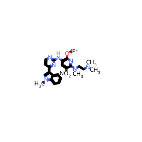 CC(C)Oc1nc(N(C)CCN(C)C)c([N+](=O)[O-])cc1Nc1nccc(-c2cn(C)c3ccccc23)n1